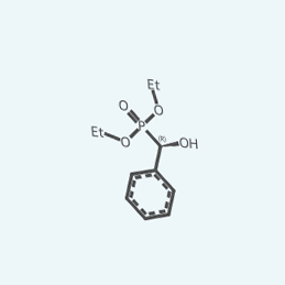 CCOP(=O)(OCC)[C@@H](O)c1ccccc1